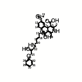 CC1=C(C(=O)O)C(c2cc([S+](C)[O-])ccc2OCC=CCNCC(O)COc2ccccc2)C(C(=O)O)=C(C)N1